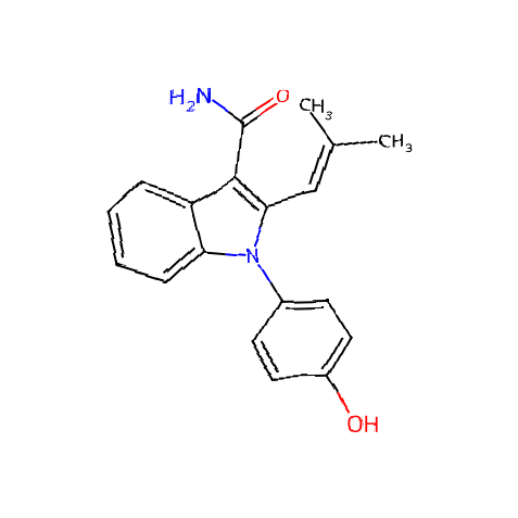 CC(C)=Cc1c(C(N)=O)c2ccccc2n1-c1ccc(O)cc1